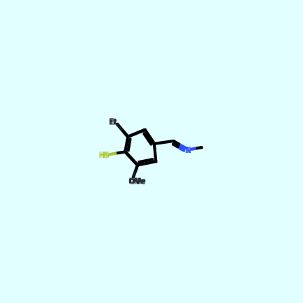 CCc1cc(/C=N/C)cc(OC)c1S